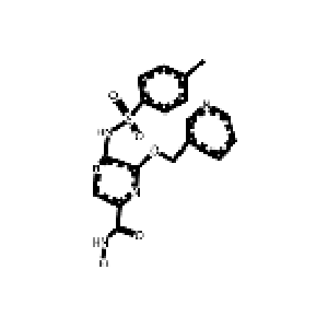 CCNC(=O)c1cnc(NS(=O)(=O)c2ccc(C)cc2)c(OCc2cccnc2)n1